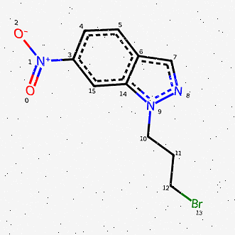 O=[N+]([O-])c1ccc2cnn(CCCBr)c2c1